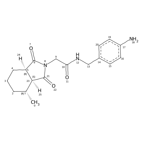 C[C@@H]1CCC[C@H]2C(=O)N(CC(=O)NCc3ccc(N)cc3)C(=O)[C@@H]12